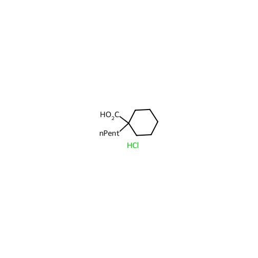 CCCCCC1(C(=O)O)CCCCC1.Cl